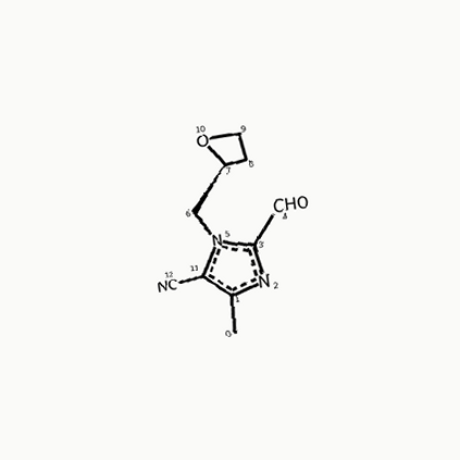 Cc1nc(C=O)n(C[C@@H]2CCO2)c1C#N